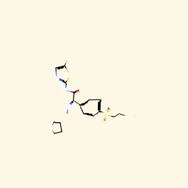 COCCS(=O)(=O)c1ccc(/C(=N\O[C@@H]2CCOC2)C(=O)Nc2ncc(F)s2)cc1